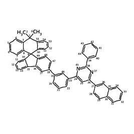 CC1(C)c2ccccc2C2(c3ccccc3-c3cc(-c4cccc(-c5cc(-c6ccc7ccccc7c6)nc(-c6ccccc6)n5)c4)ccc32)c2ccccc21